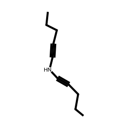 CCCC#CNC#CCCC